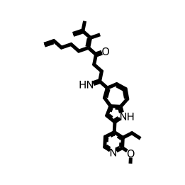 C=CCCC/C(C(=O)CCC(=N)C1=Cc2cc(-c3ccnc(OC)c3CC)[nH]c2C=C=C1)=C(/C)C(=C)C